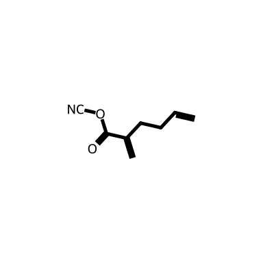 C=CCCC(=C)C(=O)OC#N